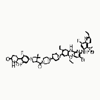 CCOc1cc(N2CCC(N3CCN(C(=O)C4CN(c5cc(F)c(C6CCC(=O)NC6=O)c(F)c5)CC4(C)C)CC3)CC2)c(CC)cc1Nc1ncc(Br)c(Nc2cc(F)c3nc(CC)ccc3c2P(C)(C)=O)n1